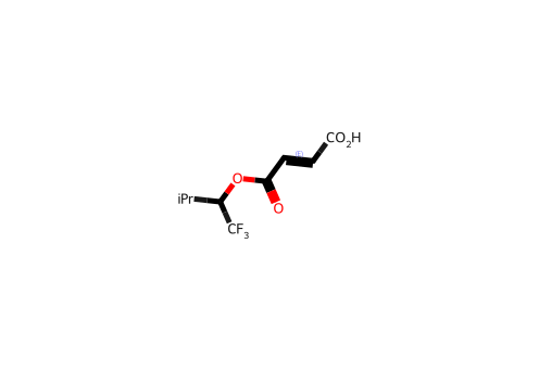 CC(C)C(OC(=O)/C=C/C(=O)O)C(F)(F)F